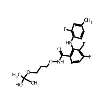 Cc1ccc(Nc2c(C(=O)NOCCCOC(C)(C)O)ccc(F)c2F)c(F)c1